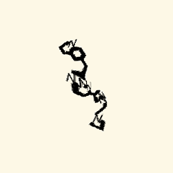 c1cnc2ccc(Cc3cnc4ccc(-c5cnn(CCN6CCC6)c5)nn34)cc2c1